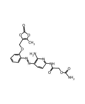 Cc1oc(=O)oc1COc1ccccc1N=Nc1ccc(NC(=O)COC(N)=O)nc1N